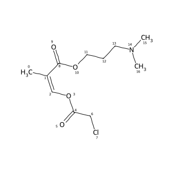 CC(=COC(=O)CCl)C(=O)OCCCN(C)C